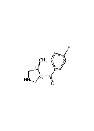 C[C@@H]1CNC[C@H]1C(=O)c1ccc(F)cc1